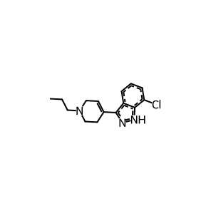 CCCN1CC=C(c2n[nH]c3c(Cl)cccc23)CC1